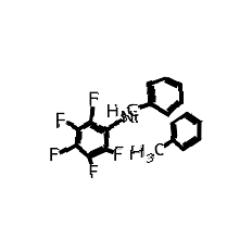 Cc1ccccc1.Cc1ccccc1.Fc1c(F)c(F)[c]([Ni])c(F)c1F